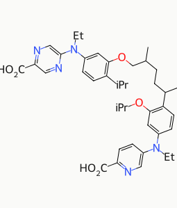 CCN(c1ccc(C(=O)O)nc1)c1ccc(C(C)CCC(C)COc2cc(N(CC)c3cnc(C(=O)O)cn3)ccc2C(C)C)c(OC(C)C)c1